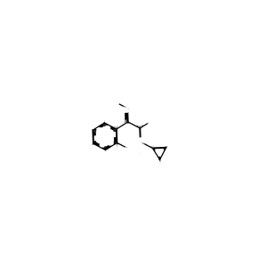 C/N=C(\c1ccccc1C)C(C)NC1CC1